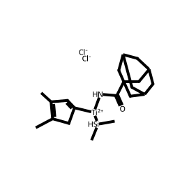 CC1=C(C)C[C]([Ti+2]([NH]C(=O)C23CC4CC(CC(C4)C2)C3)[SiH](C)C)=C1.[Cl-].[Cl-]